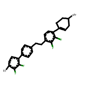 CCCC1CC=C(c2ccc(CCc3ccc(-c4ccc(CC)c(F)c4F)cc3)c(F)c2F)CC1